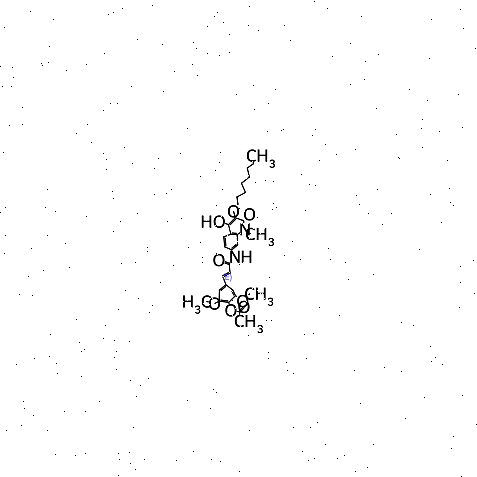 CCCCCCCCOc1c(O)c2ccc(NC(=O)/C=C/c3cc(OC)c(OC(C)=O)c(OC)c3)cc2n(C)c1=O